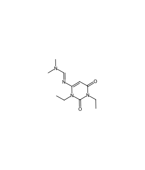 CCn1c(N=CN(C)C)cc(=O)n(CC)c1=O